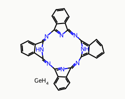 [GeH4].c1ccc2c(c1)-c1nc-2nc2[nH]c(nc3nc(nc4[nH]c(n1)c1ccccc41)-c1ccccc1-3)c1ccccc21